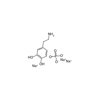 NCCc1ccc(O)c(O)c1.O=P([O-])([O-])[O-].[Na+].[Na+].[Na+]